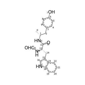 C[C@H](Cc1ccc(O)cc1)NC(=O)[C@H](Cc1c[nH]c2ccccc12)NC=O